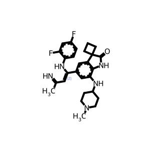 CC(=N)/C=C(\Nc1ccc(F)cc1F)c1cc(NC2CCN(C)CC2)c2c(c1)C1(CCC1)C(=O)N2